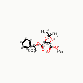 CC(C)(C)OC(=O)[C@@H]1OC(C)(C)O[C@H]1C(=O)OC(C(=O)O)c1ccccc1